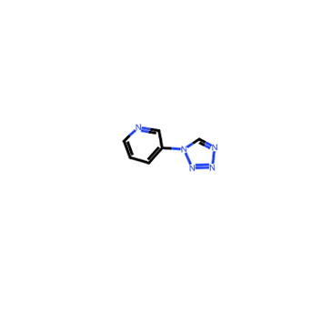 c1cncc(-n2cnnn2)c1